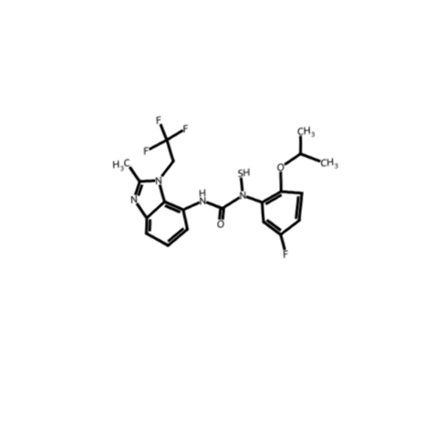 Cc1nc2cccc(NC(=O)N(S)c3cc(F)ccc3OC(C)C)c2n1CC(F)(F)F